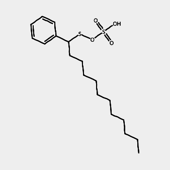 CCCCCCCCCCCC(SOS(=O)(=O)O)c1ccccc1